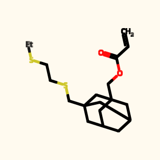 C=CC(=O)OCC12CC3CC(C1)CC(CSCCSCC)(C3)C2